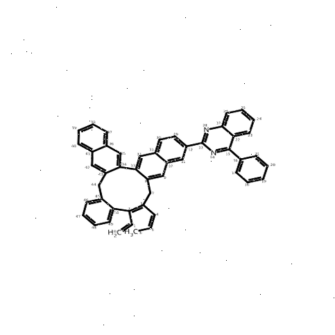 C=C/C1=C(\C=C/C)Cc2cc3cc(-c4nc(-c5ccccc5)c5ccccc5n4)ccc3cc2-c2cc3ccccc3cc2Cc2ccccc21